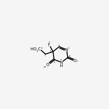 O=C(O)CC1(F)C=NC(=O)NC1=O